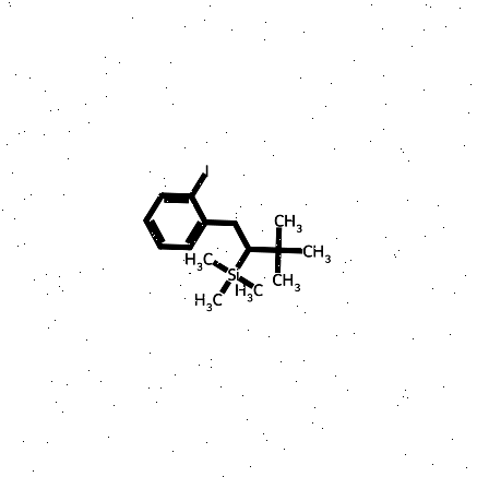 CC(C)(C)C(Cc1ccccc1I)[Si](C)(C)C